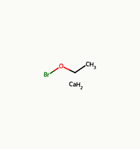 CCOBr.[CaH2]